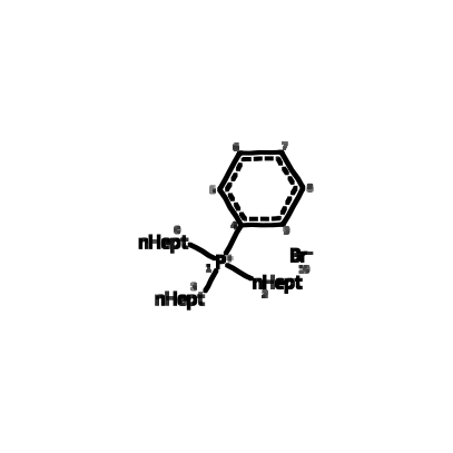 CCCCCCC[P+](CCCCCCC)(CCCCCCC)c1ccccc1.[Br-]